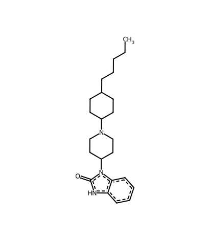 CCCCCC1CCC(N2CCC(n3c(=O)[nH]c4ccccc43)CC2)CC1